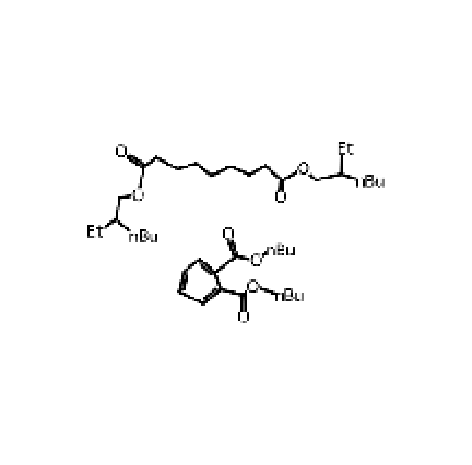 CCCCC(CC)COC(=O)CCCCCCCC(=O)OCC(CC)CCCC.CCCCOC(=O)c1ccccc1C(=O)OCCCC